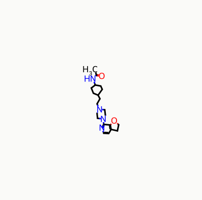 CC(=O)NC1CCC(CCN2CCN(c3nccc4c3OCC4)CC2)CC1